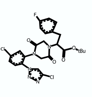 CC(C)(C)OC(=O)C(Cc1ccc(F)cc1)N1CC(=O)N(c2cc(Cl)ccc2-n2cc(Cl)nn2)CC1=O